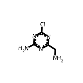 NCc1nc(N)nc(Cl)n1